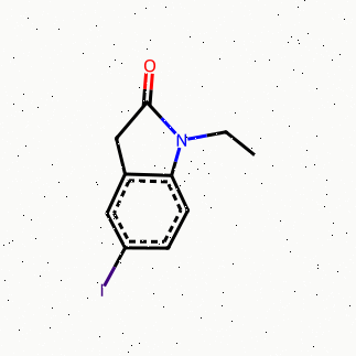 CCN1C(=O)Cc2cc(I)ccc21